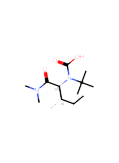 CC[C@H](C)[C@@H](C(=O)N(C)C)N(C(=O)O)C(C)(C)C